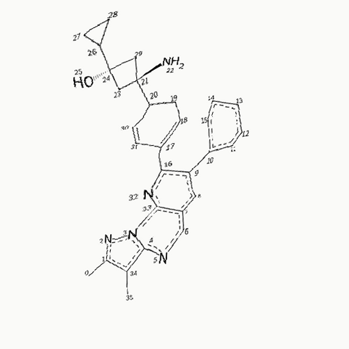 Cc1nn2c(ncc3cc(-c4ccccc4)c(C4=CCC([C@]5(N)C[C@@](O)(C6CC6)C5)C=C4)nc32)c1C